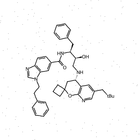 CC(C)(C)Cc1cnc2c(c1)[C@@H](NC[C@H](O)[C@H](Cc1ccccc1)NC(=O)c1ccc3ncn(CCc4ccccc4)c3c1)CC1(CCC1)O2